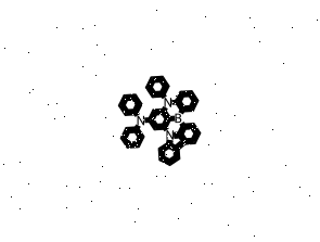 c1ccc(N(c2ccccc2)c2cc3c4c(c2)-n2c5ccccc5c5cccc(c52)B4c2ccccc2N3c2ccccc2)cc1